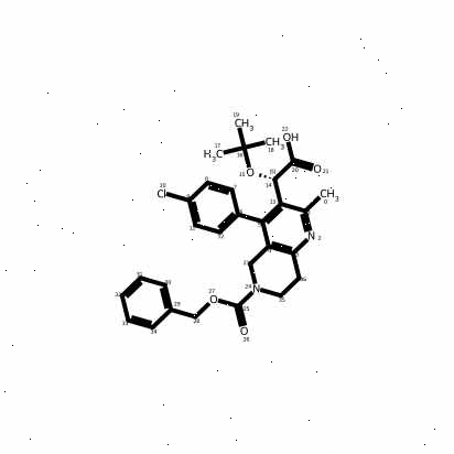 Cc1nc2c(c(-c3ccc(Cl)cc3)c1[C@H](OC(C)(C)C)C(=O)O)CN(C(=O)OCc1ccccc1)CC2